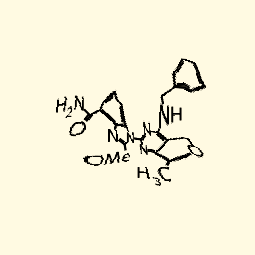 COc1nc2c(C(N)=O)cccc2n1-c1nc(NCc2ccccc2)c2c(n1)C(C)COC2